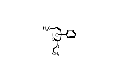 CC/C=C\C(O)(CC(=O)OCC)c1ccccc1